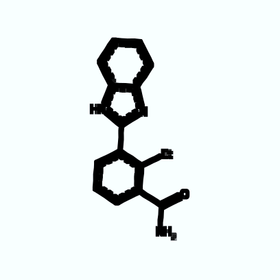 CCc1c(C(N)=O)cccc1-c1nc2ccccc2[nH]1